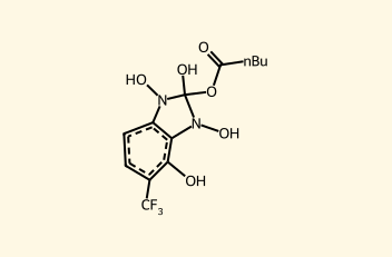 CCCCC(=O)OC1(O)N(O)c2ccc(C(F)(F)F)c(O)c2N1O